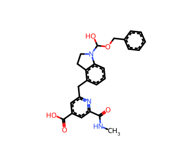 CNC(=O)c1cc(C(=O)O)cc(Cc2cccc3c2CCN3C(O)OCc2ccccc2)n1